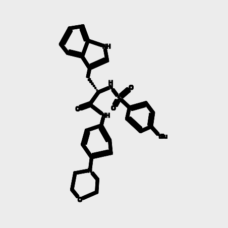 CC(C)(C)c1ccc(S(=O)(=O)N[C@@H](Cc2c[nH]c3ccccc23)C(=O)Nc2ccc(N3CCOCC3)cc2)cc1